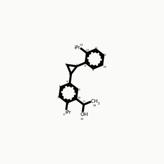 CC(C)c1ccc(C2CC2c2ccccc2C(C)C)cc1C(C)O